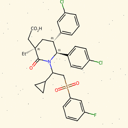 CC[C@]1(CC(=O)O)C[C@H](c2cccc(Cl)c2)[C@@H](c2ccc(Cl)cc2)N(C(CS(=O)(=O)c2cccc(F)c2)C2CC2)C1=O